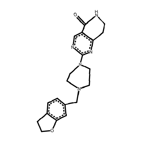 O=C1NCCc2nc(N3CCN(Cc4ccc5c(c4)OCC5)CC3)ncc21